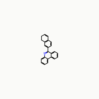 C1=Cc2ccc(-c3nc4ccccc4c4ccccc34)cc2CC1